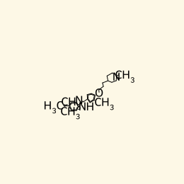 Cc1cc(-c2nc3cc(C(C)(C)C)ccc3[nH]2)ccc1OCCCC1CCN(C)CC1